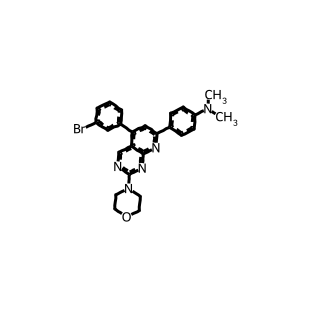 CN(C)c1ccc(-c2cc(-c3cccc(Br)c3)c3cnc(N4CCOCC4)nc3n2)cc1